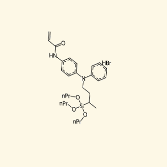 Br.C=CC(=O)Nc1ccc(N(CCC(C)[Si](OCCC)(OCCC)OCCC)c2ccccc2)cc1